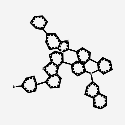 Brc1ccc(-c2cccc3c2sc2cccc(-c4ccc(N(c5ccc6ccccc6c5)c5ccccc5-c5ccc(-c6nc7ccc(-c8ccccc8)cc7o6)cc5)cc4)c23)cc1